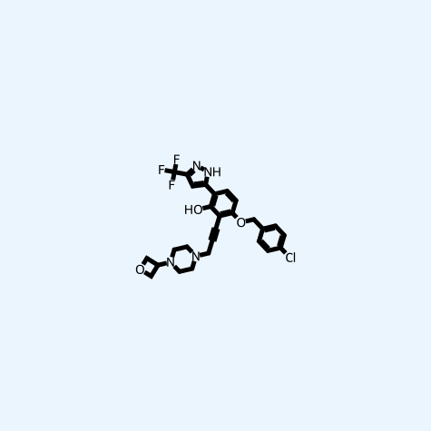 Oc1c(-c2cc(C(F)(F)F)n[nH]2)ccc(OCc2ccc(Cl)cc2)c1C#CCN1CCN(C2COC2)CC1